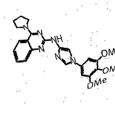 COc1cc(-n2cnc(Nc3nc(N4CCCC4)c4ccccc4n3)c2)cc(OC)c1OC